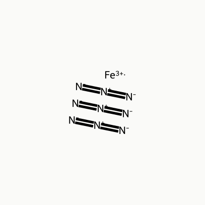 [Fe+3].[N-]=[N+]=[N-].[N-]=[N+]=[N-].[N-]=[N+]=[N-]